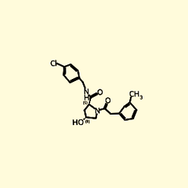 Cc1cccc(CC(=O)N2C[C@H](O)C[C@H]2C(=O)NCc2ccc(Cl)cc2)c1